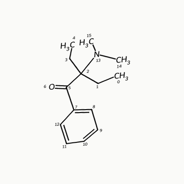 CCC(CC)(C(=O)c1ccccc1)N(C)C